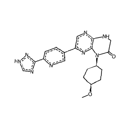 CO[C@H]1CC[C@@H](N2C(=O)CNc3ncc(-c4ccc(-c5nc[nH]n5)nc4)nc32)CC1